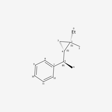 CC[C@@]1(C)C[C@H]1[C@@H](C)c1ccccc1